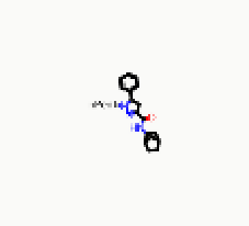 CCCCCN1N=C(C(=O)NC2CC3CCC2C3)CC1c1ccccc1